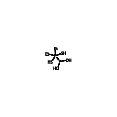 CCP(S)(S)(CC)P(O)O